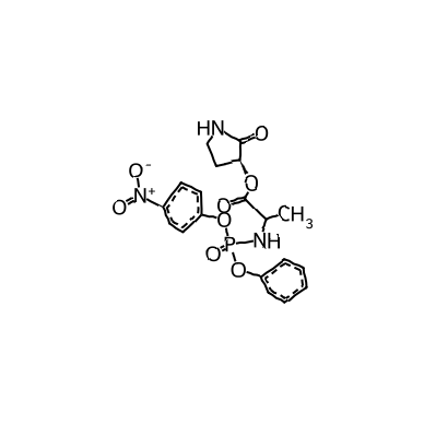 CC(NP(=O)(Oc1ccccc1)Oc1ccc([N+](=O)[O-])cc1)C(=O)O[C@H]1CCNC1=O